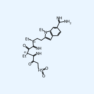 CC[C@@H](CCc1cc2ccc(C(=N)N)cc2n1CC)C(=N)C(=O)[C@H](CC)C(=N)C(=O)CC[SH](=O)=O